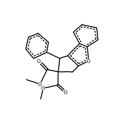 COC(=O)C1(C(=O)OC)Cc2oc3ccccc3c2C1c1ccccc1